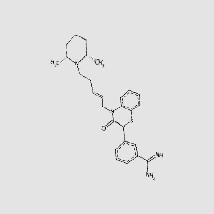 C[C@@H]1CCC[C@H](C)N1CCC=CCN1C(=O)C(c2cccc(C(=N)N)c2)Sc2ccccc21